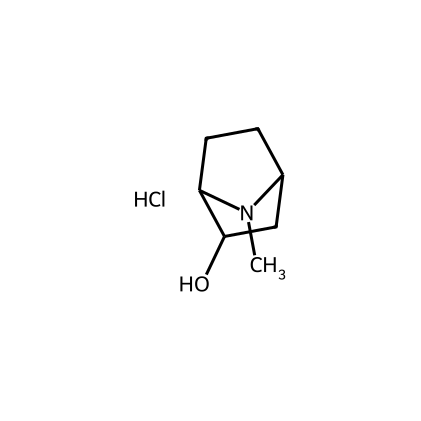 CN1C2CCC1C(O)C2.Cl